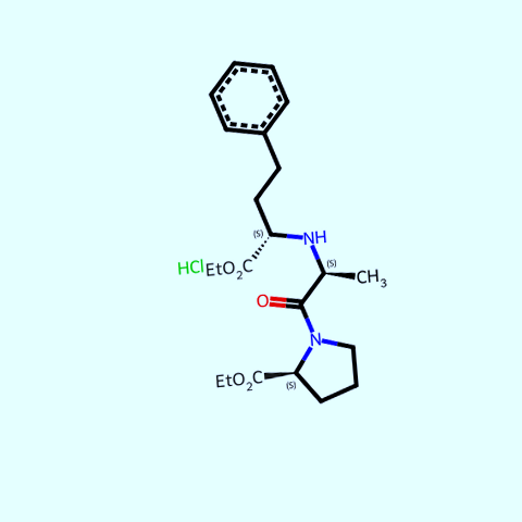 CCOC(=O)[C@H](CCc1ccccc1)N[C@@H](C)C(=O)N1CCC[C@H]1C(=O)OCC.Cl